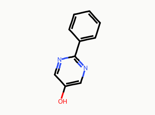 Oc1cnc(-c2ccccc2)nc1